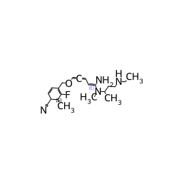 CCNCCC(C)N(C)/C(N)=C/C=C=COCC1=C(F)[C@@H](C)C(C#N)C=C1